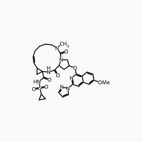 COc1ccc2c(OC3CC4C(=O)NC5(C(=O)NS(=O)(=O)C6CC6)CC5/C=C\CCCCN(C)C(=O)N4C3)nc(-n3cccn3)cc2c1